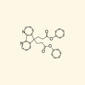 O=C(CCC1(CCC(=O)Oc2ccccc2)c2cccnc2-c2ncccc21)Oc1ccccc1